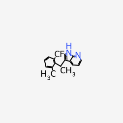 Cc1cccc(C(F)(F)F)c1C(C)c1c[nH]c2ncccc12